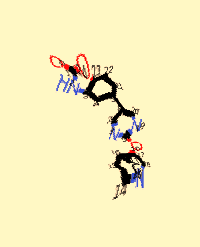 O=c1[nH]c2cc(-c3cnc(OC4CN5CCC4CC5)nc3)ccc2o1